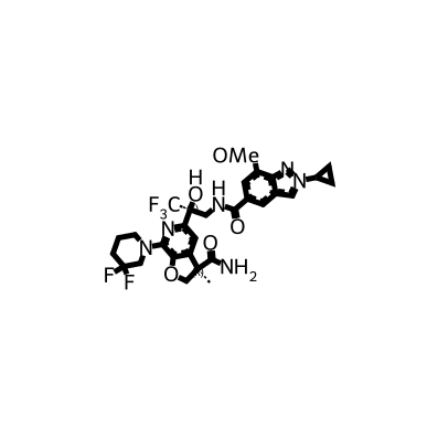 COc1cc(C(=O)NC[C@](O)(c2cc3c(c(N4CCCC(F)(F)C4)n2)OC[C@]3(C)C(N)=O)C(F)(F)F)cc2cn(C3CC3)nc12